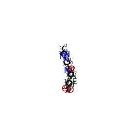 CCc1cnc(N2CCC(c3nc4cc(-c5ccc(S(C)(=O)=O)cc5F)ccc4o3)CC2)nc1